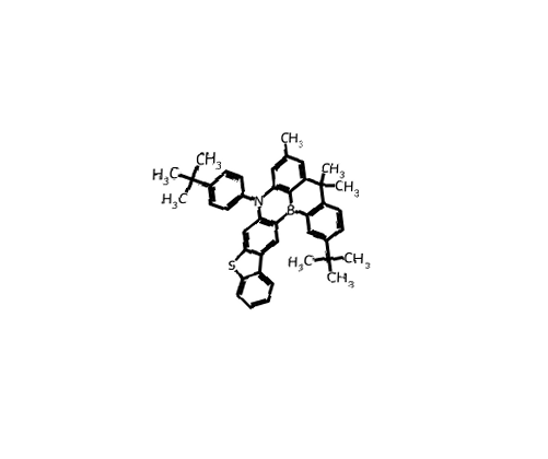 Cc1cc2c3c(c1)C(C)(C)c1ccc(C(C)(C)C)cc1B3c1cc3c(cc1N2c1ccc(C(C)(C)C)cc1)sc1ccccc13